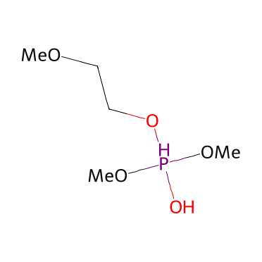 COCCO[PH](O)(OC)OC